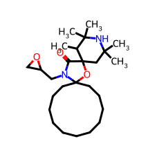 CC1C(C)(C)NC(C)(C)CC12OC1(CCCCCCCCCCC1)N(CC1CO1)C2=O